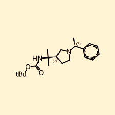 C[C@@H](c1ccccc1)N1CC[C@@H](C(C)(C)NC(=O)OC(C)(C)C)C1